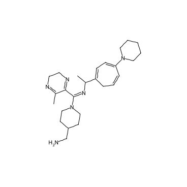 CC1=NCCN=C1/C(=N\C(C)C1=CC=C(N2CCCCC2)C=CC1)N1CCC(CN)CC1